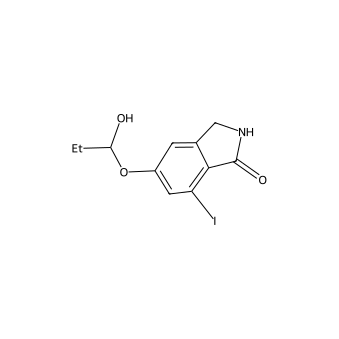 CCC(O)Oc1cc(I)c2c(c1)CNC2=O